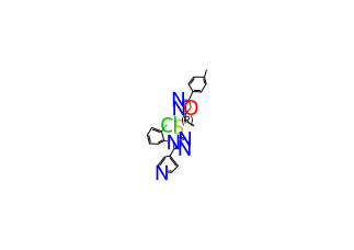 Cc1ccc(-c2nnc([C@@H](C)Sc3nnc(-c4ccncc4)n3-c3ccccc3Cl)o2)cc1